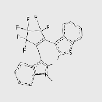 Cc1sc2ccccc2c1C1=C(c2c(C)n(C)c3ccccc23)C(F)(F)C(F)(F)C1(F)F